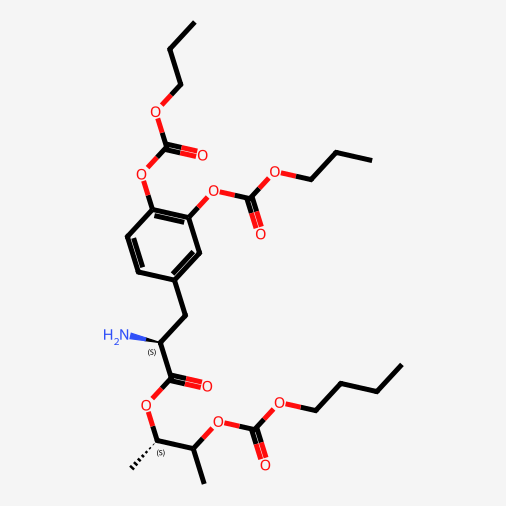 CCCCOC(=O)OC(C)[C@H](C)OC(=O)[C@@H](N)Cc1ccc(OC(=O)OCCC)c(OC(=O)OCCC)c1